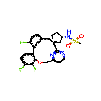 CS(=O)(=O)N[C@H]1CC[C@@]2(Cc3ccc(F)c(c3)-c3ccc(F)c(F)c3OCc3ccnc2n3)C1